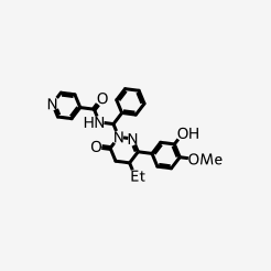 CCC1CC(=O)N(C(NC(=O)c2ccncc2)c2ccccc2)N=C1c1ccc(OC)c(O)c1